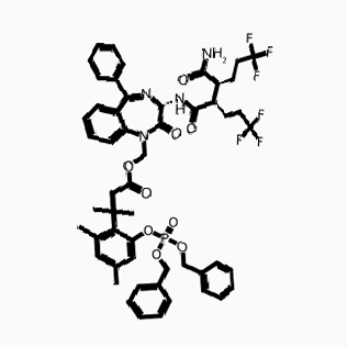 Cc1cc(C)c(C(C)(C)CC(=O)OCN2C(=O)[C@@H](NC(=O)[C@H](CCC(F)(F)F)[C@H](CCC(F)(F)F)C(N)=O)N=C(c3ccccc3)c3ccccc32)c(OP(=O)(OCc2ccccc2)OCc2ccccc2)c1